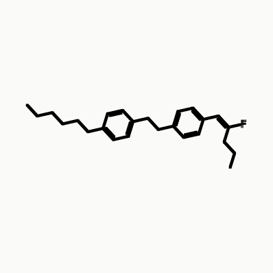 CCCCCCc1ccc(CCc2ccc(/C=C(/F)CCC)cc2)cc1